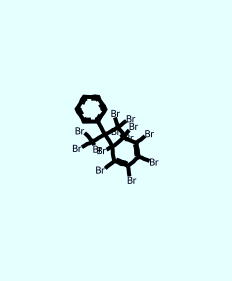 BrC1=C(Br)C(Br)(Br)C(Br)(C(c2ccccc2)(C(Br)(Br)Br)C(Br)(Br)Br)C(Br)=C1Br